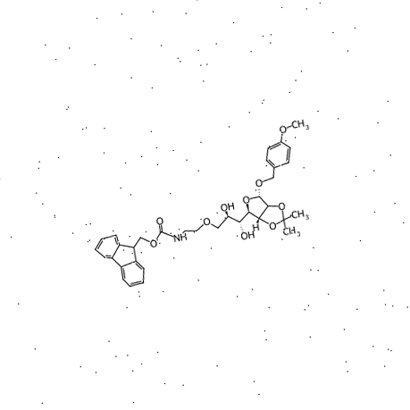 COc1ccc(CO[C@H]2O[C@H]([C@H](O)[C@H](O)COCCNC(=O)OCC3c4ccccc4-c4ccccc43)[C@H]3OC(C)(C)OC23)cc1